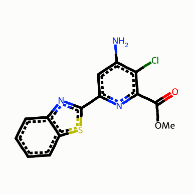 COC(=O)c1nc(-c2nc3ccccc3s2)cc(N)c1Cl